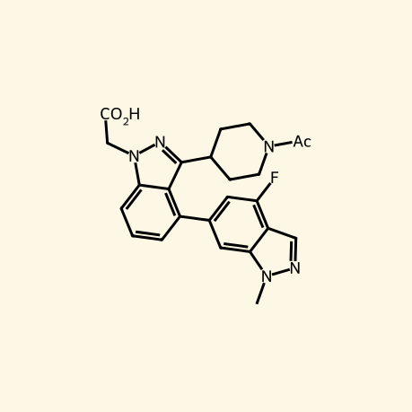 CC(=O)N1CCC(c2nn(CC(=O)O)c3cccc(-c4cc(F)c5cnn(C)c5c4)c23)CC1